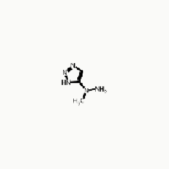 CN(N)c1cnn[nH]1